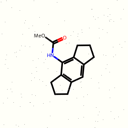 COC(=O)Nc1c2c(cc3c1CCC3)CCC2